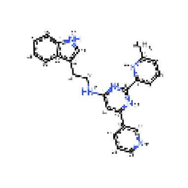 Cc1cccc(-c2nc(NCCc3c[nH]c4ccccc34)cc(-c3cccnc3)n2)n1